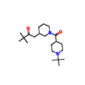 CC(C)(C)C(=O)CC1CCCN(C(=O)C2CCN(C(C)(C)C)CC2)C1